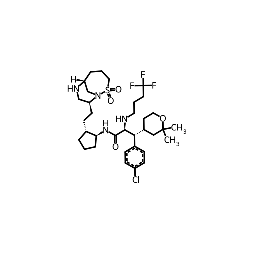 CC1(C)CC([C@H](c2ccc(Cl)cc2)[C@H](NCCCC(F)(F)F)C(=O)N[C@H]2CCC[C@@H]2CC[C@H]2CN[C@@H]3CCCS(=O)(=O)N2C3)CCO1